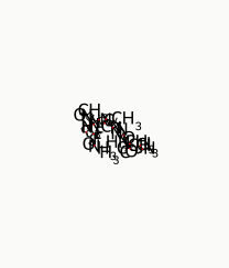 CC(=O)N1CCc2c(c(N3CCCc4cc(-c5cnco5)c(C(F)F)cc43)nn2C2CCN(CC3C(C)CN(c4ncc(C(=O)NC5C(C)(C)C(Oc6ccc(C#N)c(Cl)c6)C5(C)C)cn4)CC3C)CC2)C1